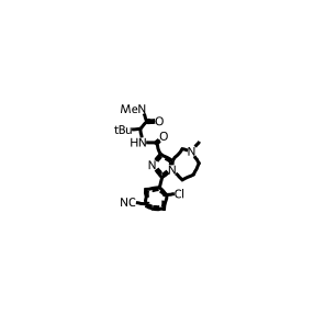 CNC(=O)C(NC(=O)c1nc(-c2cc(C#N)ccc2Cl)n2c1CN(C)CCC2)C(C)(C)C